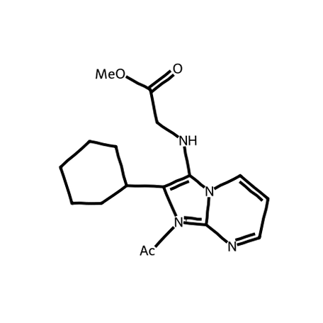 COC(=O)CNc1c(C2CCCCC2)[n+](C(C)=O)c2ncccn12